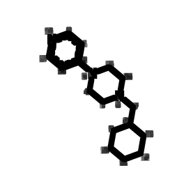 c1cc(N2CCN(CC3CCCCC3)CC2)ccn1